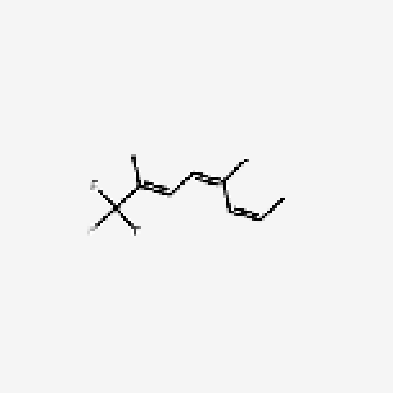 C\C=C/C(C)=C\C=C(/C)C(F)(F)F